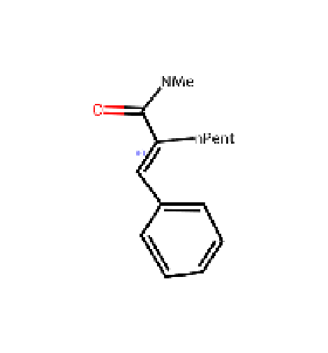 CCCCC/C(=C\c1ccccc1)C(=O)NC